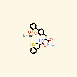 CC(=O)NS(=O)(=O)c1ccccc1-c1ccc(CC(NC(=O)[C@@H](CS)Cc2ccccc2)C(N)=O)cc1